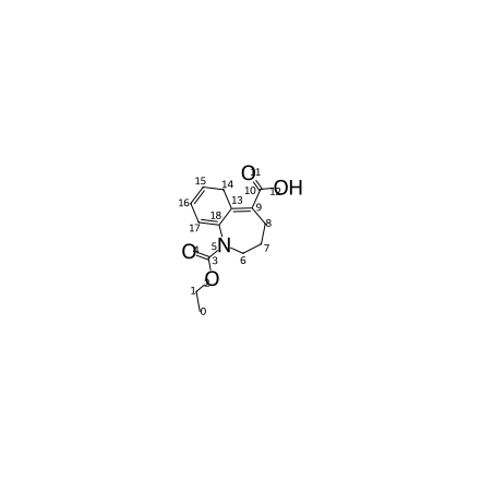 CCOC(=O)N1CCCC(C(=O)O)=C2CC=CC=C21